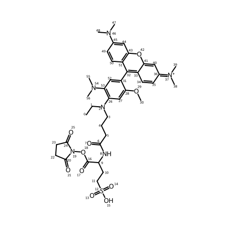 CCN(CCCC(=O)NC(CCS(=O)(=O)O)C(=O)ON1C(=O)CCC1=O)c1cc(OC)c(-c2c3ccc(=[N+](C)C)cc-3oc3cc(N(C)C)ccc23)cc1N(C)C